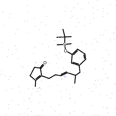 CC1=C(CC/C=C/C(C)Cc2cccc(O[Si](C)(C)C(C)(C)C)c2)C(=O)CC1